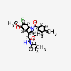 CCC(C)NC(=O)Cc1c(C)n(C(=O)c2ccc(C)cc2)c2cc(F)c(OC)cc12